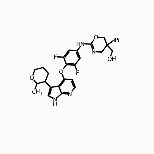 CC1OCCCC1c1c[nH]c2nccc(Oc3c(F)cc(NC4=NCC(CO)(C(C)C)CO4)cc3F)c12